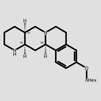 CCCCCCOc1ccc2c(c1)CCN1C[C@@H]3CCCN[C@@H]3C[C@H]21